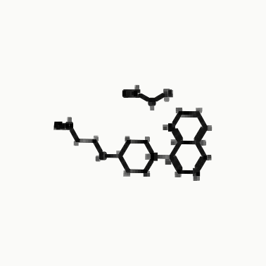 CCOC=O.COCCOC1CCN(c2cncc3cccnc23)CC1